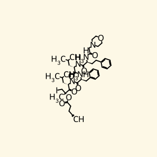 C#CCCC(=O)OC(C)(CI)C(=O)[C@H](CC(C)C)NC(=O)[C@H](Cc1ccccc1)NC(=O)[C@H](CC(C)C)NC(=O)[C@H](CCc1ccccc1)NC(=O)CN1CCOCC1